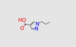 CCCn1cc(C(=O)O)cn1